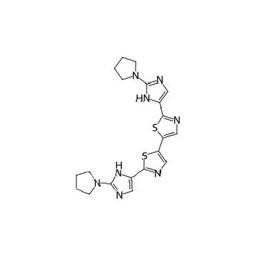 c1nc(N2CCCC2)[nH]c1-c1ncc(-c2cnc(-c3cnc(N4CCCC4)[nH]3)s2)s1